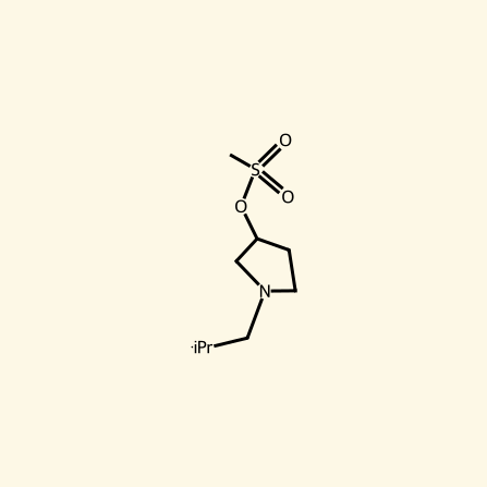 C[C](C)CN1CCC(OS(C)(=O)=O)C1